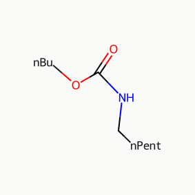 [CH2]CCCCCNC(=O)OCCCC